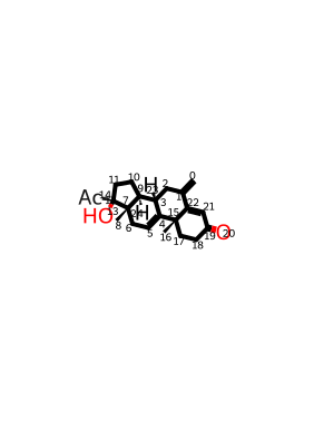 C=C1C[C@@H]2C(=CC[C@@]3(C)[C@H]2CC[C@]3(O)C(C)=O)[C@@]2(C)CCC(=O)C=C12